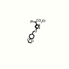 CCOC(=O)C(c1cc(OCC2CCC3(CC2)OCCO3)no1)C(C)C